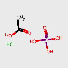 CC(=O)O.Cl.O=P(O)(O)O